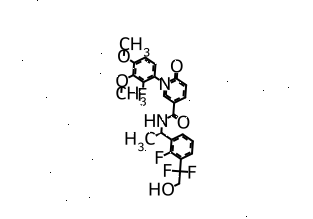 COc1ccc(-n2cc(C(=O)N[C@H](C)c3cccc(C(F)(F)CO)c3F)ccc2=O)c(F)c1OC